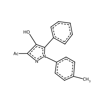 CC(=O)c1nn(-c2ccc(C)cc2)c(-c2ccccc2)c1O